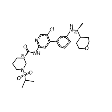 CC(C)S(=O)(=O)N1CCC[C@@H](C(=O)Nc2cc(-c3cccc(N[C@@H](C)C4CCOCC4)c3)c(Cl)cn2)C1